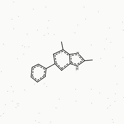 Cc1nc2c(C)cc(-c3ccccc3)cc2[nH]1